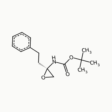 CC(C)(C)OC(=O)N[C@@]1(CCc2ccccc2)CO1